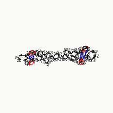 CC(C)c1cccc(C(C)C)c1N1C(=O)c2ccc3c4cccc5c(-c6ccc(-c7ccc8c9ccc%10c%11c(ccc(c%12cccc7c%128)c%119)C(=O)N(c7c(C(C)C)cccc7C(C)C)C%10=O)cc6)ccc(c6ccc(c2c36)C1=O)c54